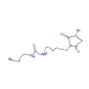 CC(C)(C)CCNC(=O)NCCCCN1C(=O)CC(C(C)(C)C)C1=O